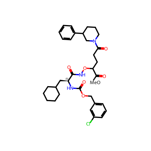 COC(=O)C(CCC(=O)N1CCCC(c2ccccc2)C1)ONC(=O)[C@H](CC1CCCCC1)NC(=O)OCc1cccc(Cl)c1